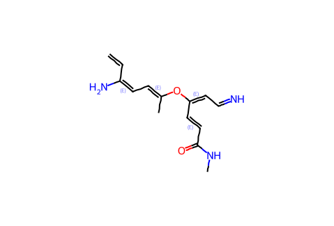 C=C/C(N)=C\C=C(/C)OC(/C=C/C(=O)NC)=C/C=N